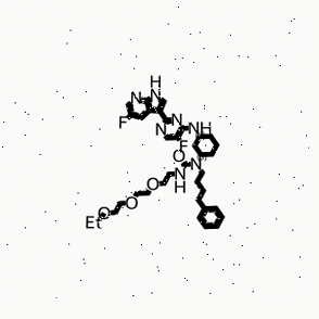 CCOCCOCCOCCNC(=O)N(CCCCc1ccccc1)[C@H]1CCC[C@@H](Nc2nc(-c3c[nH]c4ncc(F)cc34)ncc2F)C1